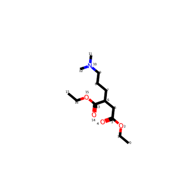 CCOC(=O)CC(CCCN(C)C)C(=O)OCC